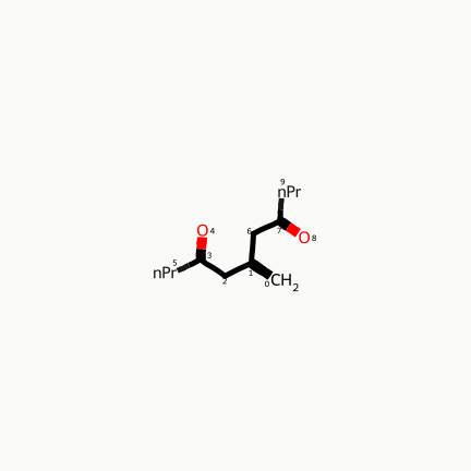 C=C(CC(=O)CCC)CC(=O)CCC